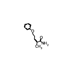 CC(=CCCOc1ccccc1)C(N)=O